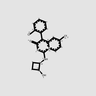 O=c1nc(N[C@@H]2CC[C@@H]2O)n2ccc(C(F)(F)F)cc2c1-c1ccccc1Cl